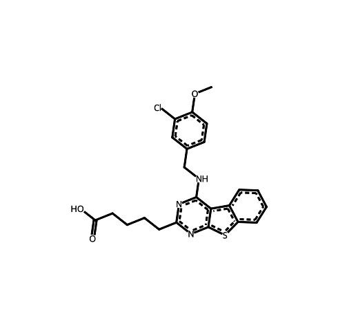 COc1ccc(CNc2nc(CCCCC(=O)O)nc3sc4ccccc4c23)cc1Cl